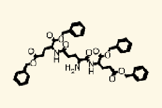 NC(CCC(=O)NC(CCC(=O)OCc1ccccc1)C(=O)OCc1ccccc1)C(=O)NC(CCC(=O)OCc1ccccc1)C(=O)OCc1ccccc1